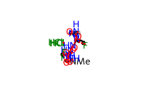 CNC(C)C(=O)NC(C(=O)N1Cc2ccc(NC(=O)CC(=O)NCCCC3(C)CN(C(=O)CN4C[C@@H](C)NC[C@@H]4CN4CCOCC4C)c4cc(Cc5ccc(F)cc5)ccc43)cc2C1C(=O)Nc1c(F)cccc1F)C1CCOCC1.Cl.Cl.Cl